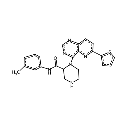 Cc1cccc(NC(=O)C2CNCCN2c2ncnc3ccc(-c4cccs4)nc23)c1